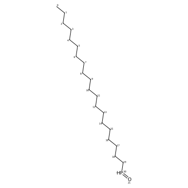 CCCCCCCCCCCCCCCCCCCC[PH]=O